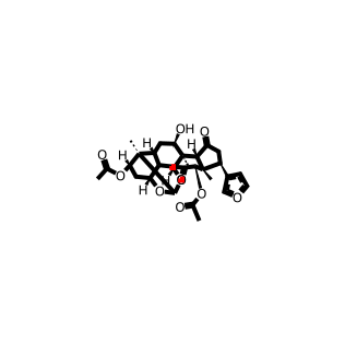 CC(=O)O[C@H]1C[C@H]2OC3OC[C@@]24[C@@H](C[C@@H](O)[C@@]2(C)[C@@H]5C(=O)C[C@@H](c6ccoc6)[C@]5(C)[C@@H](OC(C)=O)C(=O)[C@@H]24)[C@@]31C